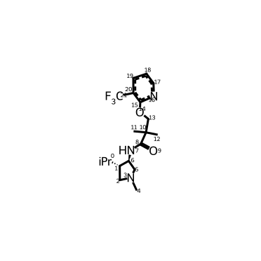 CC(C)[C@H]1CN(C)C[C@@H]1NC(=O)C(C)(C)COc1ncccc1C(F)(F)F